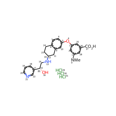 CNc1cc(Oc2ccc3c(c2)C[C@@H](NC[C@H](O)c2cccnc2)CC3)cc(C(=O)O)c1.Cl.Cl.Cl